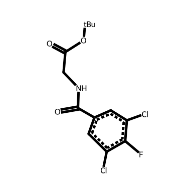 CC(C)(C)OC(=O)CNC(=O)c1cc(Cl)c(F)c(Cl)c1